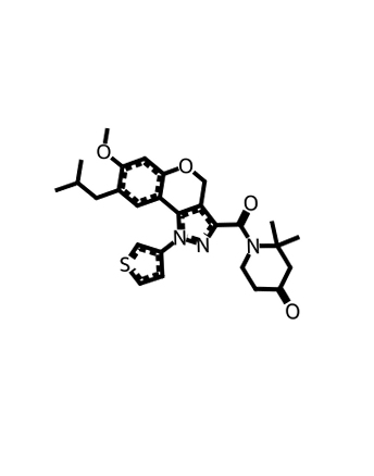 COc1cc2c(cc1CC(C)C)-c1c(c(C(=O)N3CCC(=O)CC3(C)C)nn1-c1ccsc1)CO2